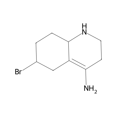 NC1=C2CC(Br)CCC2NCC1